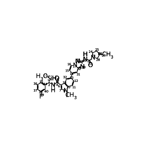 C[SiH2]C(NC(=O)c1cn(C)c2ccc(-c3ccn4nc(NC(=O)N5CC[C@@H](C)C5)nc4c3)cc12)c1cccc(F)c1